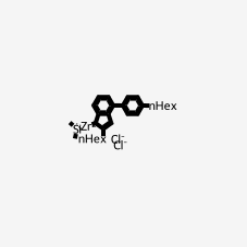 CCCCCCC1=Cc2c(-c3ccc(CCCCCC)cc3)cccc2[CH]1[Zr+2][Si](C)C.[Cl-].[Cl-]